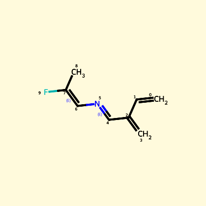 C=CC(=C)/C=N/C=C(\C)F